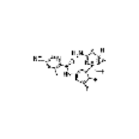 Cc1cc(C#N)cnc1C(=O)Nc1cc(F)c(F)c([C@@]2(CF)N=C(N)S[C@H]3C=C32)c1